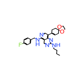 CCCCNc1ncc2c(NCc3ccc(F)cc3)ncc(C3=CCC4(CC3)OCCO4)c2n1